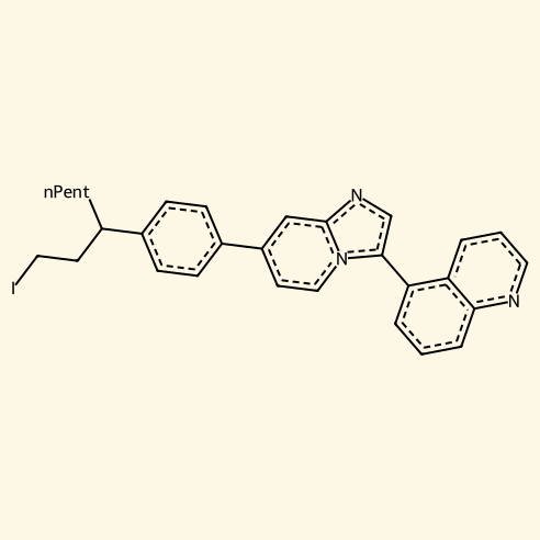 CCCCCC(CCI)c1ccc(-c2ccn3c(-c4cccc5ncccc45)cnc3c2)cc1